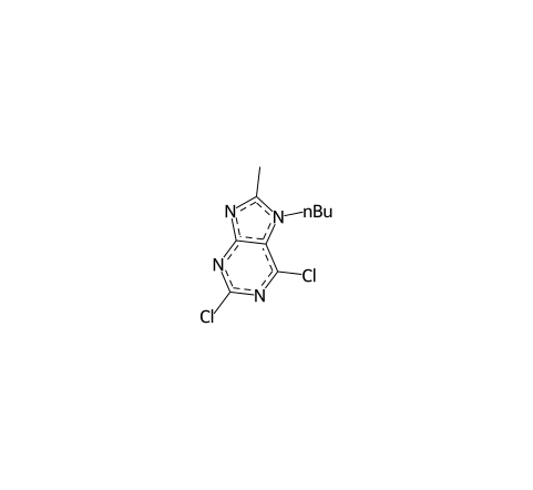 CCCCn1c(C)nc2nc(Cl)nc(Cl)c21